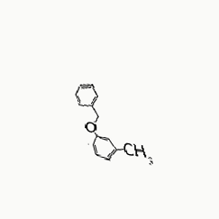 Cc1cc[c]c(OCc2ccccc2)c1